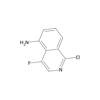 Nc1cccc2c(Cl)ncc(F)c12